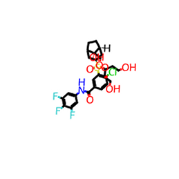 O=C(Nc1cc(F)c(F)c(F)c1)c1ccc(Cl)c(S(=O)(=O)[C@@H]2CC3CC[C@@H](C2)[C@@]3(O)COC(CCO)CCO)c1